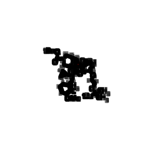 COc1cccc(CN(C(=O)C2=C(c3cnc(OCCO[Si](C)(C)C(C)(C)C)s3)CC3CN(C(=O)OC(C)(C)C)C[C@H]2N3C(=O)OC(C)(C)C)C2CC2)c1C